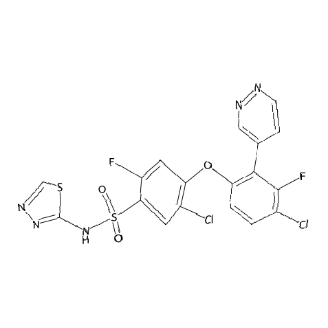 O=S(=O)(Nc1nncs1)c1cc(Cl)c(Oc2ccc(Cl)c(F)c2-c2ccnnc2)cc1F